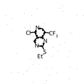 CCSc1ncc2c(Cl)ncc(C(F)(F)F)c2n1